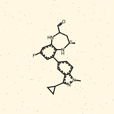 C[C@@H]1CC(C=O)Nc2cc(F)cc(-c3ccc4c(c3)c(C3CC3)nn4C)c2N1